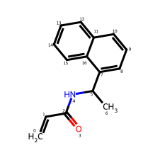 C=CC(=O)NC(C)c1cccc2ccccc12